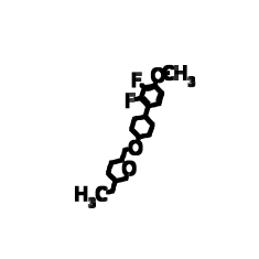 CCC1CCC(COC2CCC(c3ccc(OC)c(F)c3F)CC2)OC1